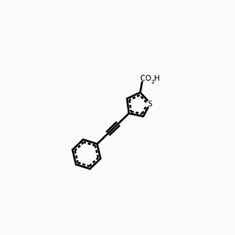 O=C(O)c1cc(C#Cc2ccccc2)cs1